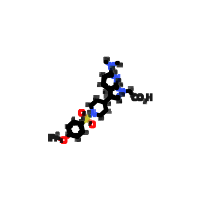 CC(C)Oc1ccc(S(=O)(=O)N2CCC(c3cn(CC(=O)O)c4nc(N(C)C)ccc34)CC2)cc1